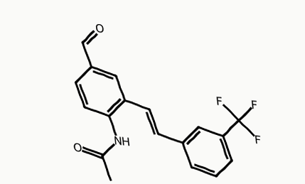 CC(=O)Nc1ccc(C=O)cc1/C=C/c1cccc(C(F)(F)F)c1